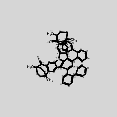 CC12CCC(C)(CC1)c1cc3c4c(-c5ccccc5-c5ccccc5)cc(-c5ccccc5-c5ccccc5)c5c6cc7c(cc6n(c3cc1C2=O)c45)C(=O)C1(C)CCC7(C)CC1